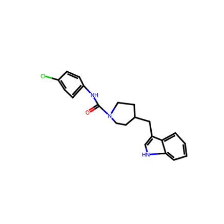 O=C(Nc1ccc(Cl)cc1)N1CCC(Cc2c[nH]c3ccccc23)CC1